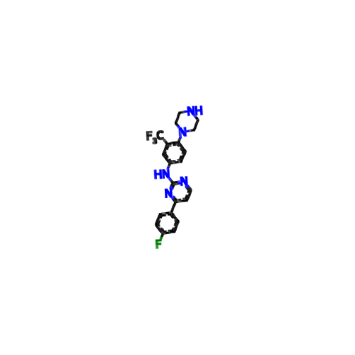 Fc1ccc(-c2ccnc(Nc3ccc(N4CCNCC4)c(C(F)(F)F)c3)n2)cc1